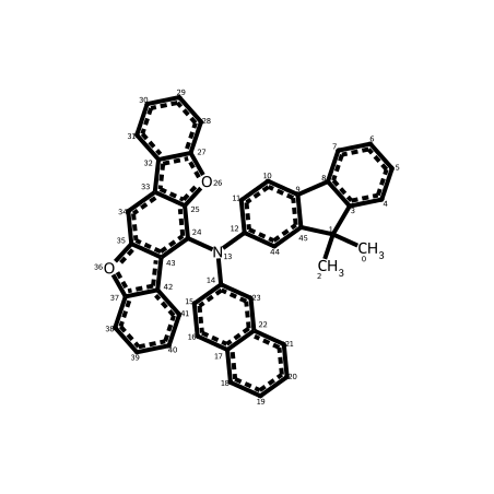 CC1(C)c2ccccc2-c2ccc(N(c3ccc4ccccc4c3)c3c4oc5ccccc5c4cc4oc5ccccc5c34)cc21